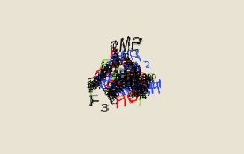 COCCOc1cnc2ccc(Oc3cc(F)cc(NC(=O)Nc4cccc(F)c4)c3)cc2n1.NCCOc1cnc2ccc(Oc3cc(F)cc(NC(=O)Nc4cccc(C(F)(F)F)c4)c3)cc2n1.O=C(Nc1cccc(F)c1)Nc1cc(F)cc(Oc2ccc3ncc(OCCO)nc3c2)c1